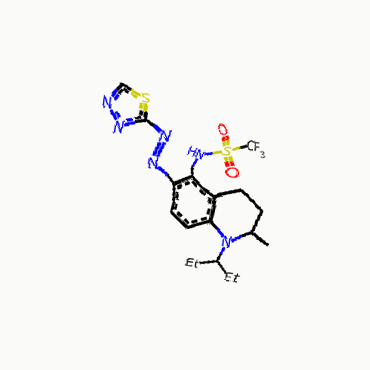 CCC(CC)N1c2ccc(N=Nc3nncs3)c(NS(=O)(=O)C(F)(F)F)c2CCC1C